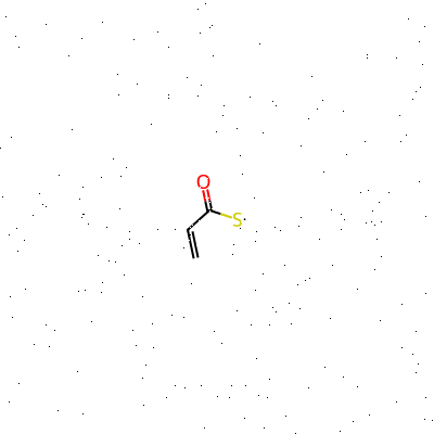 C=CC(=O)[S]